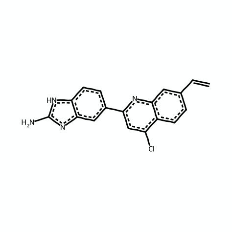 C=Cc1ccc2c(Cl)cc(-c3ccc4[nH]c(N)nc4c3)nc2c1